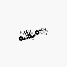 CC(C)C[C@H]1CC[C@H](C#CC(=O)C(CCCOCc2ccccc2)CC(=O)OC(C)(C)C)CC1